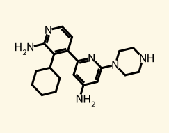 Nc1cc(-c2ccnc(N)c2C2CCCCC2)nc(N2CCNCC2)c1